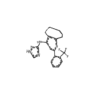 FC(F)(F)c1ccccc1-c1cc(Nc2nc[nH]n2)c2c(n1)CCCC2